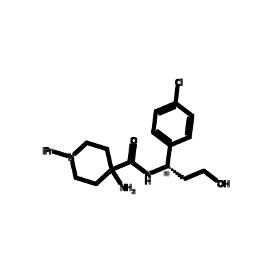 CC(C)N1CCC(N)(C(=O)N[C@@H](CCO)c2ccc(Cl)cc2)CC1